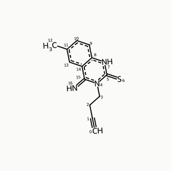 C#CCCn1c(=S)[nH]c2ccc(C)cc2c1=N